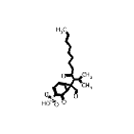 CCCCCCCCC(=O)C(C(C)C)C1(C=O)C2=CC=C(S(=O)(=O)O)C(=O)C21